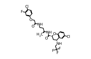 C=C(CCNC(=O)COc1ccc(Cl)c(F)c1)NC(=O)[C@@H]1C[C@@H](NCC(F)(F)F)c2cc(Cl)ccc2O1